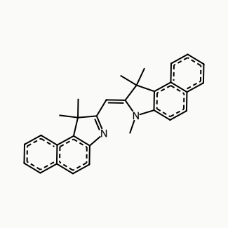 CN1C(=CC2=Nc3ccc4ccccc4c3C2(C)C)C(C)(C)c2c1ccc1ccccc21